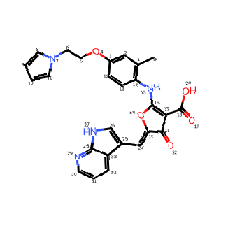 Cc1cc(OCCn2cccc2)ccc1NC1=C(C(=O)O)C(=O)/C(=C/c2c[nH]c3ncccc23)O1